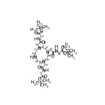 CC(C)(C)OC(=O)CNC(=O)CN1CCNCCN(CC(=O)NCC(=O)OC(C)(C)C)CCN(CC(=O)NCC(=O)OC(C)(C)C)CC1